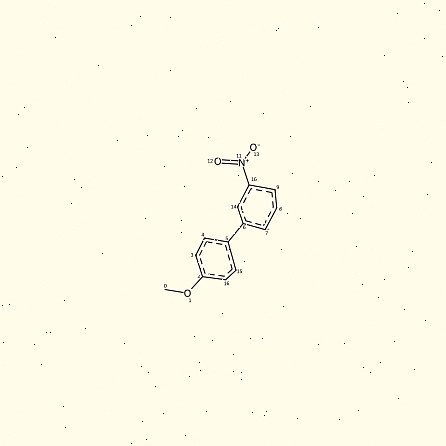 COc1ccc(-c2[c]ccc([N+](=O)[O-])c2)cc1